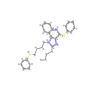 CCCCc1nc2c(Sc3ccccc3)nc3ccccc3c2n1CCCCSc1ccccc1